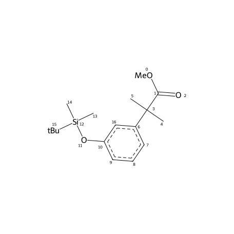 COC(=O)C(C)(C)c1cccc(O[Si](C)(C)C(C)(C)C)c1